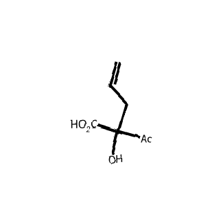 C=CCC(O)(C(C)=O)C(=O)O